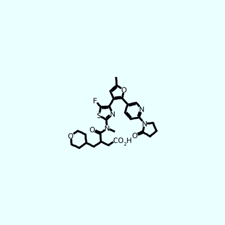 Cc1cc(-c2nc(N(C)C(=O)C(CC(=O)O)CC3CCOCC3)sc2F)c(-c2ccc(N3CCCC3=O)nc2)o1